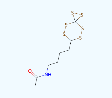 CC(=O)NCCCCC1SSC2(SS1)SS2